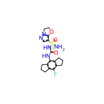 N[SH](=O)(NC(=O)Nc1c2c(c(F)c3c1CCC3)CCC2)c1cnn2c1OCC2